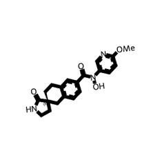 COc1ccc(N(O)C(=O)c2ccc3c(c2)CC[C@]2(CCNC2=O)C3)cn1